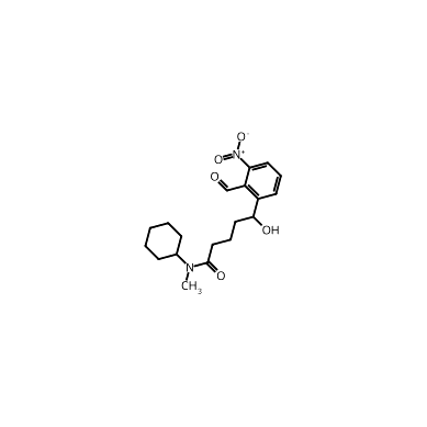 CN(C(=O)CCCC(O)c1cccc([N+](=O)[O-])c1C=O)C1CCCCC1